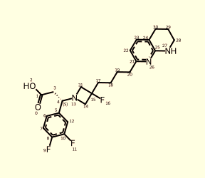 O=C(O)C[C@@H](c1ccc(F)c(F)c1)N1CC(F)(CCCCc2ccc3c(n2)NCCC3)C1